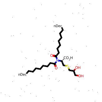 CCCCCCCCCCCCCCCCCC(=O)N(C(=O)CCCCCCCCCCCCCCCCC)[C@@H](CSCC(O)CO)C(=O)O